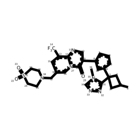 CC1CC(c2cccc(-c3cnc4c(C(F)(F)F)cc(CN5CCS(=O)(=O)CC5)cn4c3=O)c2)(c2nncn2C)C1